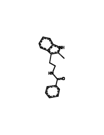 Cc1[nH]c2ccccc2c1CCNC(=O)c1ccccc1